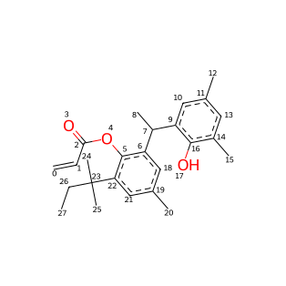 C=CC(=O)Oc1c(C(C)c2cc(C)cc(C)c2O)cc(C)cc1C(C)(C)CC